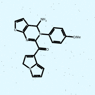 COc1ccc(N2C(C(=O)C3=CCn4cccc43)=Nc3occc3C2N)cc1